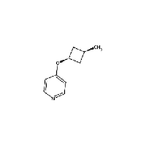 C[C@H]1C[C@@H](Oc2ccncc2)C1